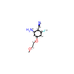 COCCOc1cc(N)c(C#N)c(F)c1